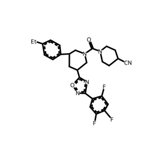 CCc1ccc(C2CC(c3nc(-c4cc(F)c(F)cc4F)no3)CN(C(=O)N3CCC(C#N)CC3)C2)cc1